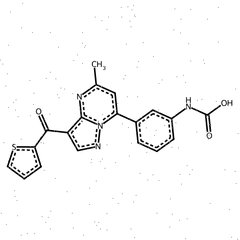 Cc1cc(-c2cccc(NC(=O)O)c2)n2ncc(C(=O)c3cccs3)c2n1